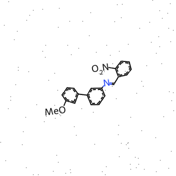 COc1cccc(-c2cccc(N=Cc3ccccc3[N+](=O)[O-])c2)c1